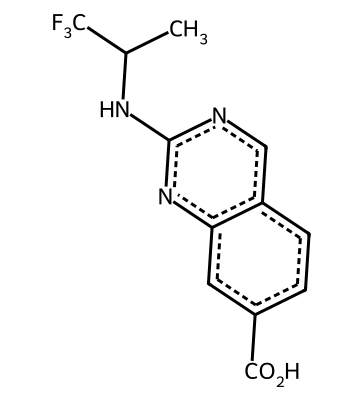 CC(Nc1ncc2ccc(C(=O)O)cc2n1)C(F)(F)F